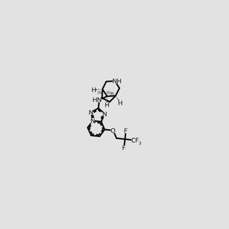 FC(F)(F)C(F)(F)COc1cccn2nc(N[C@@H]3[C@@H]4CC[C@H]3CNC4)nc12